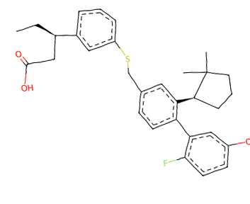 CC[C@H](CC(=O)O)c1cccc(SCc2ccc(-c3cc(OC)ccc3F)c([C@@H]3CCCC3(C)C)c2)c1